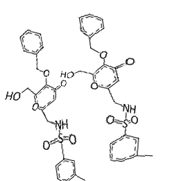 Cc1cccc(S(=O)(=O)NCc2cc(=O)c(OCc3ccccc3)c(CO)o2)c1.Cc1cccc(S(=O)(=O)NCc2cc(=O)c(OCc3ccccc3)c(CO)o2)c1